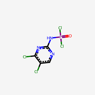 O=P(Cl)(Cl)Nc1ncc(Cl)c(Cl)n1